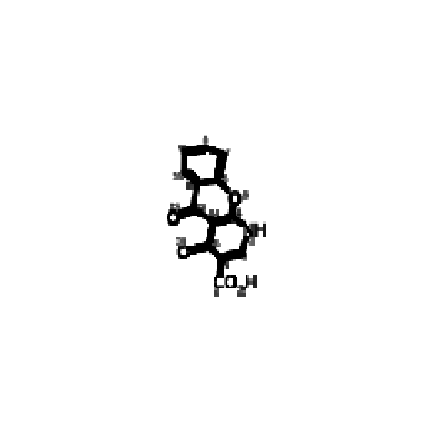 O=C(O)c1c[nH]c2oc3ccccc3c(=O)c2c1=O